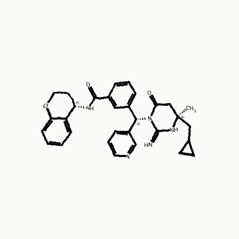 C[C@@]1(CC2CC2)CC(=O)N([C@H](c2cccnc2)c2cccc(C(=O)N[C@H]3CCOc4ccccc43)c2)C(=N)N1